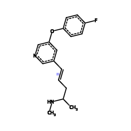 CNC(C)C/C=C/c1cncc(Oc2ccc(F)cc2)c1